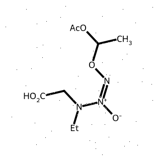 CCN(CC(=O)O)/[N+]([O-])=N\OC(C)OC(C)=O